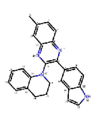 Cc1ccc2nc(-c3ccc4[nH]ccc4c3)c(N3CCCc4ccccc43)nc2c1